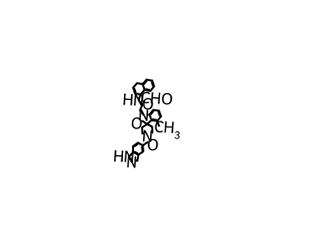 Cc1cccc2c1C1(CCN(C(=O)c3ccc4[nH]ncc4c3)CC1)C(=O)N2CC(=O)NC1(C=O)C=CCc2ccccc21